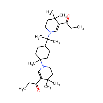 CCC(=O)C1=CN(C2(C)CCC(C(C)(C)N3C=C(C(=O)CC)C(C)(C)CC3)CC2)CCC1(C)C